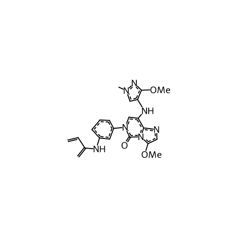 C=CC(=C)Nc1cccc(-n2cc(Nc3cn(C)nc3OC)c3ncc(OC)n3c2=O)c1